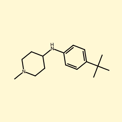 CN1CCC(Nc2ccc(C(C)(C)C)cc2)CC1